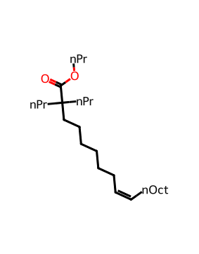 CCCCCCCC/C=C\CCCCCCC(CCC)(CCC)C(=O)OCCC